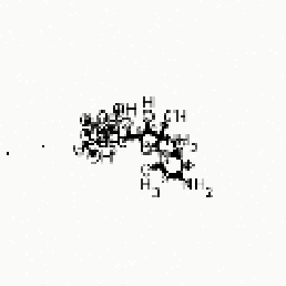 C#C[C@@]1(N)C(O)C([C@@H](C)OP(=O)(O)OP(=O)(O)OP(=O)(O)O)O[C@H]1n1c(C)cc(N)nc1=O